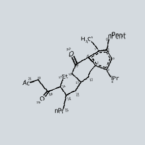 CCCCCc1cc(C(C)C)c2c(c1C)C(=O)CC(CC(CCC)C(CC)C(=O)CC(C)=O)C2